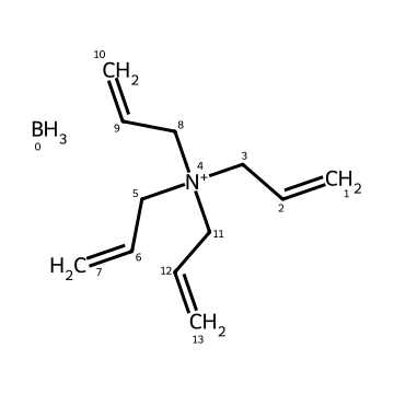 B.C=CC[N+](CC=C)(CC=C)CC=C